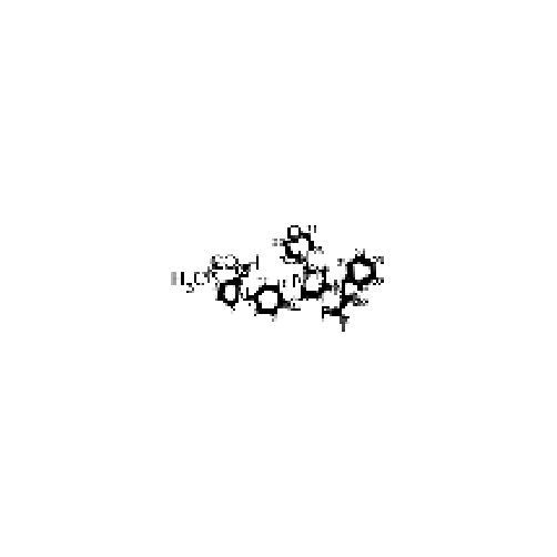 CN(C(=O)O)[C@H]1CCN([C@H]2CC[C@H](Oc3cc(-n4c(C(F)F)nc5ccccc54)nc(N4CCOCC4)n3)CC2)C1=O